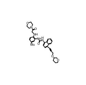 CC(C)(C)c1ccc(NCC(=O)N2CCOCC2)c(NC(=O)Nc2ccc(C#CCOC3CCCOC3)c3ccccc23)c1